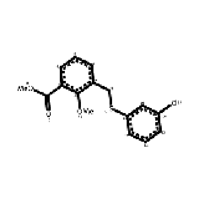 COC(=O)c1cccc(CSc2cccc(Cl)c2)c1OC